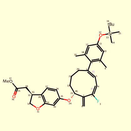 C=C1/C(F)=C\C=C(\c2c(C)cc(O[Si](C)(C)C(C)(C)C)cc2C)CCC[C@H]1Oc1ccc2c(c1)OC[C@H]2CC(=O)OC